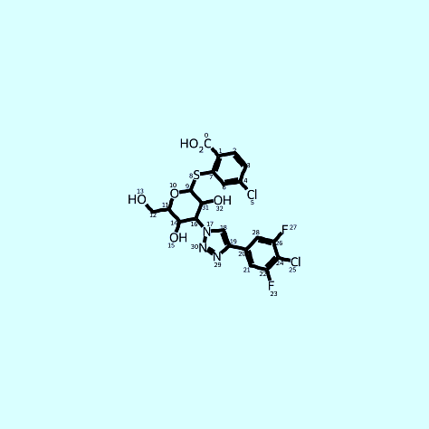 O=C(O)c1ccc(Cl)cc1SC1OC(CO)C(O)C(n2cc(-c3cc(F)c(Cl)c(F)c3)nn2)C1O